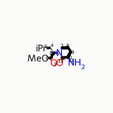 COC(=O)[C@H](CC(C)C)n1cccc(N)c1=O